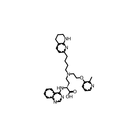 Cc1ncccc1OCCN(CCCCc1ccc2c(n1)NCCC2)CC[C@H](Nc1ncnc2ccccc12)C(=O)O